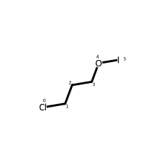 ClCCCOI